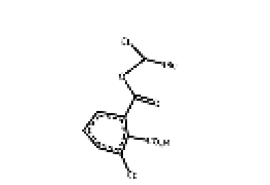 CCc1cccc(C(=O)OC(CC)C(C)(C)C)c1C(=O)O